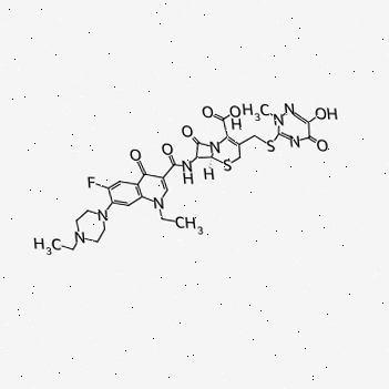 CCN1CCN(c2cc3c(cc2F)c(=O)c(C(=O)NC2C(=O)N4C(C(=O)O)=C(CSc5nc(=O)c(O)nn5C)CS[C@@H]24)cn3CC)CC1